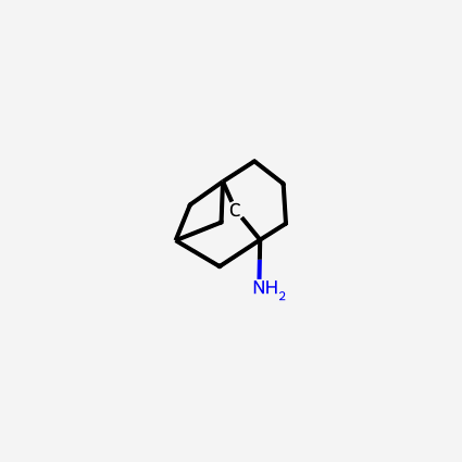 NC12CCCC3(CC(C1)C3)C2